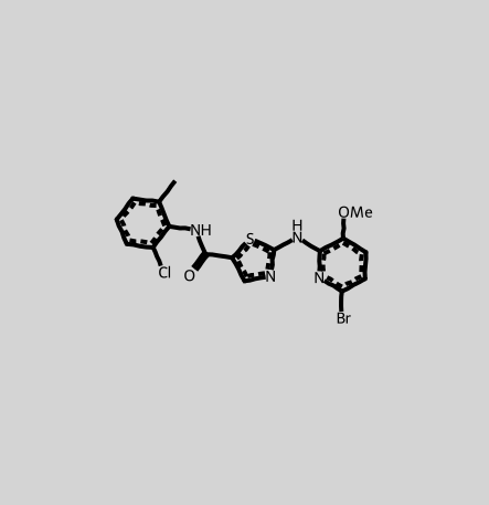 COc1ccc(Br)nc1Nc1ncc(C(=O)Nc2c(C)cccc2Cl)s1